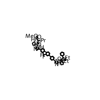 CCN(CC)C(C(=O)N1CCC[C@H]1c1ncc(-c2ccc(-c3ccc4c(c3)C(F)(F)c3cc(-c5cnc([C@@H]6CCCN6C(=O)C(NC(=O)OC)C(C)C)[nH]5)ccc3-4)cc2)[nH]1)c1ccccc1